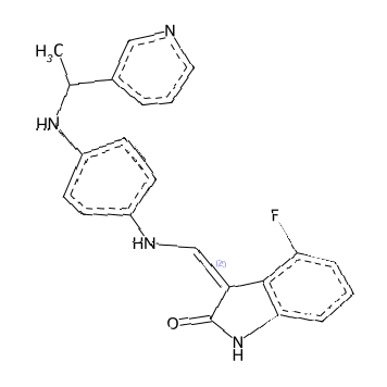 CC(Nc1ccc(N/C=C2\C(=O)Nc3cccc(F)c32)cc1)c1cccnc1